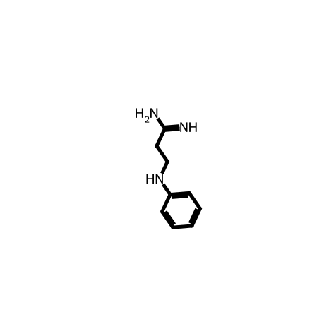 N=C(N)CCNc1ccccc1